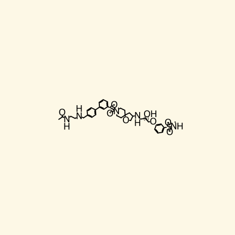 CNS(=O)(=O)c1cccc(OC[C@@H](O)CNC2COC3(CCN(S(=O)(=O)c4cccc(-c5ccc(CNCCNC(C)=O)cc5)c4)CC3)C2)c1